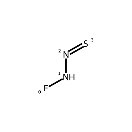 FNN=S